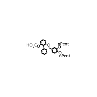 CCCCCOc1ccc(COc2cccc(OC(=O)O)c2-c2ccccc2)cc1OCCCCC